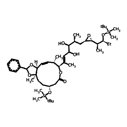 CC[C@H](O[Si](C)(C)C(C)(C)C)[C@@H](C)[C@H]1O[C@@H]1C[C@H](C)C(O)C(O)C=C(C)[C@H]1OC(=O)C[C@H](O[Si](C)(C)C(C)(C)C)CC[C@@]2(C)OC(c3ccccc3)O[C@H]2C=C[C@@H]1C